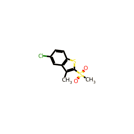 Cc1c(S(C)(=O)=O)sc2ccc(Cl)cc12